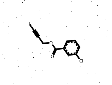 O=C(OCC#CI)c1cccc(Cl)c1